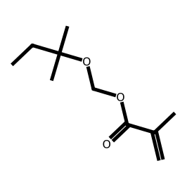 C=C(C)C(=O)OCOC(C)(C)CC